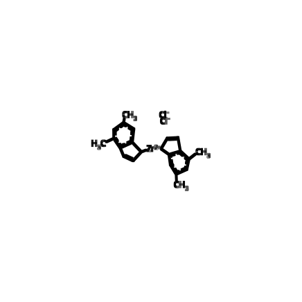 Cc1cc(C)c2c(c1)[CH]([Zr+2][CH]1C=Cc3c(C)cc(C)cc31)C=C2.[Cl-].[Cl-]